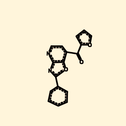 O=C(c1ccco1)c1ccnc2nc(-c3ccccc3)oc12